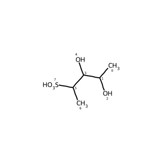 CC(O)C(O)C(C)S(=O)(=O)O